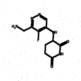 NCc1nncc(NC2CCC(=O)NC2=O)c1F